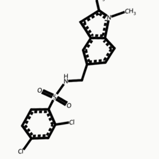 Cc1cc2cc(CNS(=O)(=O)c3ccc(Cl)cc3Cl)ccc2n1C